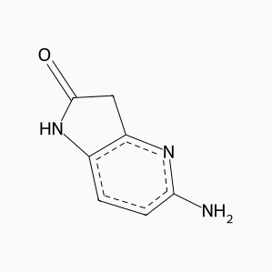 Nc1ccc2c(n1)CC(=O)N2